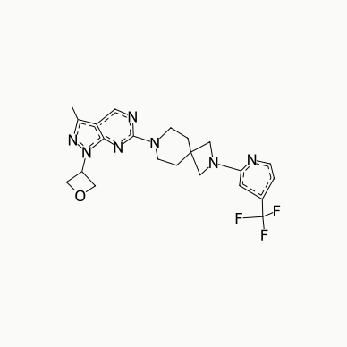 Cc1nn(C2COC2)c2nc(N3CCC4(CC3)CN(c3cc(C(F)(F)F)ccn3)C4)ncc12